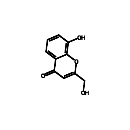 O=c1cc(CO)oc2c(O)cccc12